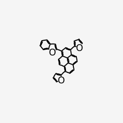 c1coc(-c2ccc3ccc4c(-c5ccco5)cc(-c5cc6ccccc6o5)c5ccc2c3c45)c1